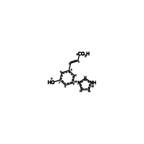 O=C(O)C=Cc1cccc(O)c1.c1c[nH]cn1